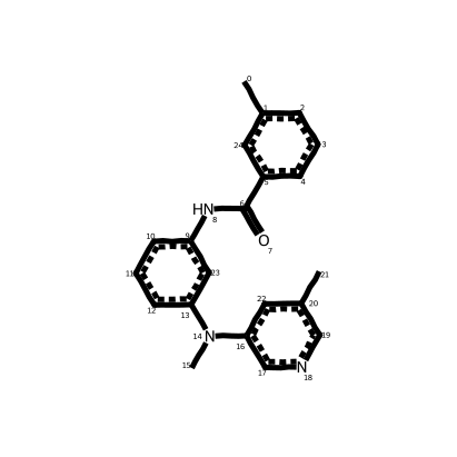 Cc1cccc(C(=O)Nc2cccc(N(C)c3cncc(C)c3)c2)c1